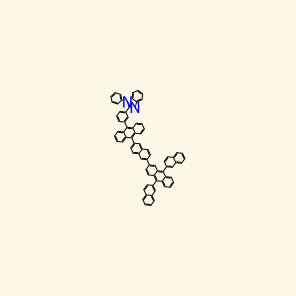 c1ccc(-n2c(-c3cccc(-c4c5ccccc5c(-c5ccc6cc(-c7ccc8c(-c9ccc%10ccccc%10c9)c9ccccc9c(-c9ccc%10ccccc%10c9)c8c7)ccc6c5)c5ccccc45)c3)nc3ccccc32)cc1